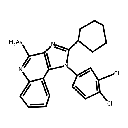 Clc1ccc(-n2c(C3CCCCC3)nc3c([AsH2])nc4ccccc4c32)cc1Cl